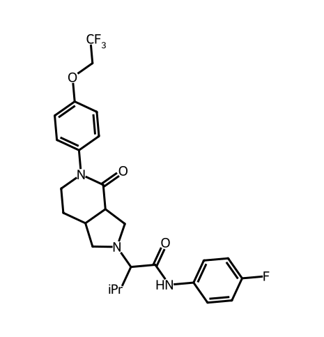 CC(C)C(C(=O)Nc1ccc(F)cc1)N1CC2CCN(c3ccc(OCC(F)(F)F)cc3)C(=O)C2C1